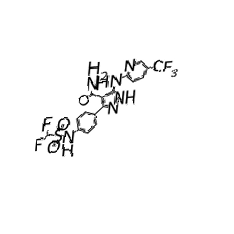 NC(=O)c1c(-c2ccc(NS(=O)(=O)C(F)F)cc2)n[nH]c1Nc1ccc(C(F)(F)F)cn1